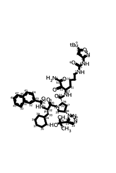 CC(C)(C)c1cc(NC(=O)NCCCCC(NC(=O)[C@@H]2C[C@H](n3nncc3C(C)(C)O)CN2C(=O)[C@@H](CC2CCCCC2)NC(=O)c2ccc3ccccc3c2)C(=O)C(N)=O)no1